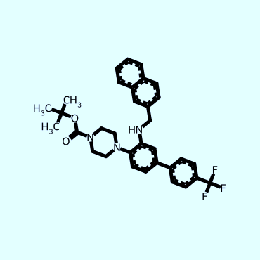 CC(C)(C)OC(=O)N1CCN(c2ccc(-c3ccc(C(F)(F)F)cc3)cc2NCc2ccc3ccccc3c2)CC1